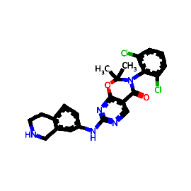 CC1(C)Oc2nc(Nc3ccc4c(c3)CNCC4)ncc2C(=O)N1c1c(Cl)cccc1Cl